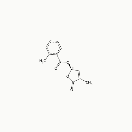 CC1=C[C@H](OC(=O)c2ccccc2C)OC1=O